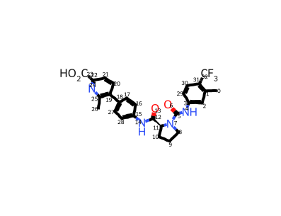 Cc1cc(NC(=O)N2CCC[C@H]2C(=O)Nc2ccc(-c3ccc(C(=O)O)nc3C)cc2)ccc1C(F)(F)F